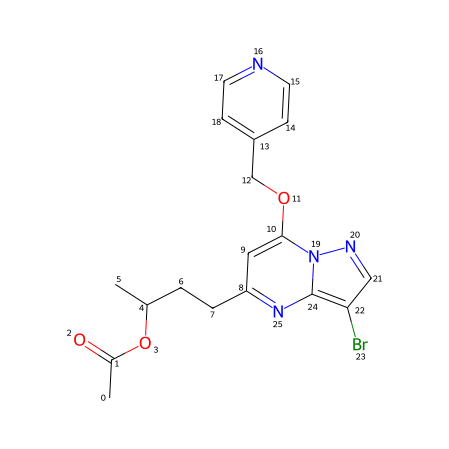 CC(=O)OC(C)CCc1cc(OCc2ccncc2)n2ncc(Br)c2n1